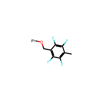 Cc1c(F)c(F)c(COC(C)C)c(F)c1F